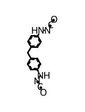 O=C=NNc1ccc(Cc2ccc(NN=C=O)cc2)cc1